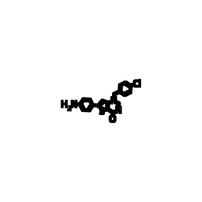 Nc1ccc(-c2cc3c(s2)c(=O)ncn3Cc2ccc(Cl)cc2)cc1